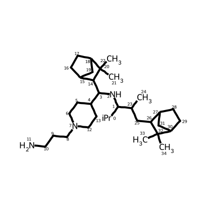 CC(C)C(NC(C1CCN(CCCN)CC1)C1C2CCC(C2)C1(C)C)C(C)CC1C2CCC(C2)C1(C)C